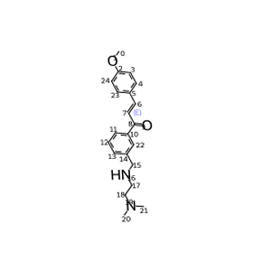 COc1ccc(/C=C/C(=O)c2cccc(CNCCN(C)C)c2)cc1